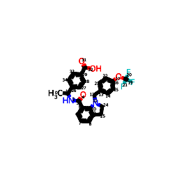 CC(NC(=O)c1cccc2c1N(Cc1ccc(OC(F)(F)F)cc1)CC2)c1ccc(C(=O)O)cc1